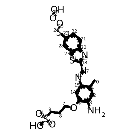 Cc1cc(N)c(OCCCS(=O)(=O)O)cc1N=Nc1nc2ccc(SOOO)cc2s1